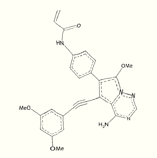 C=CC(=O)Nc1ccc(-c2c(C#Cc3cc(OC)cc(OC)c3)c3c(N)ncnn3c2OC)cc1